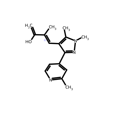 C=C(O)/C(C)=C/c1c(-c2ccnc(C)c2)nn(C)c1C